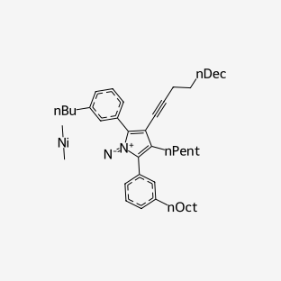 CCCCCCCCCCCCC#CC1=C(c2cccc(CCCC)c2)[N+](=[N-])C(c2cccc(CCCCCCCC)c2)=C1CCCCC.[CH3][Ni][CH3]